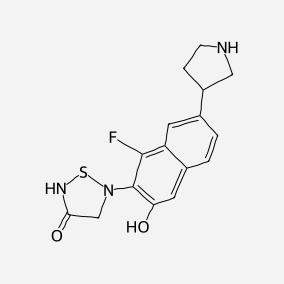 O=C1CN(c2c(O)cc3ccc(C4CCNC4)cc3c2F)SN1